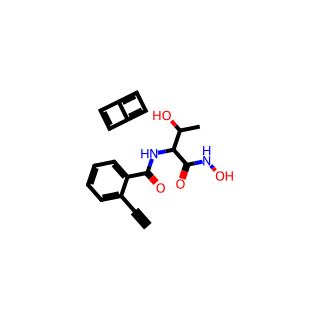 C#Cc1ccccc1C(=O)NC(C(=O)NO)C(C)O.c1cc2ccc1-2